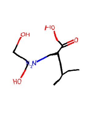 CC(C)C(N)C(=O)O.OCCO